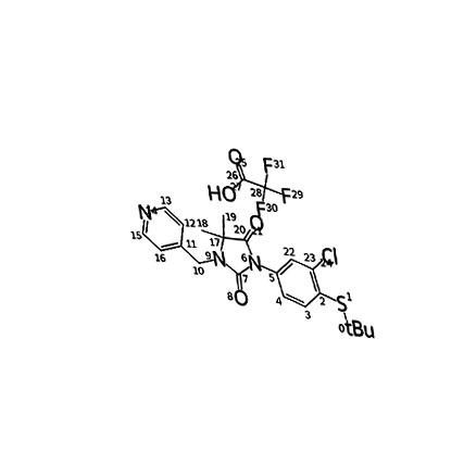 CC(C)(C)Sc1ccc(N2C(=O)N(Cc3ccncc3)C(C)(C)C2=O)cc1Cl.O=C(O)C(F)(F)F